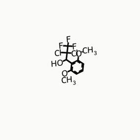 COc1cccc(OC)c1C(O)C(Cl)(Cl)C(F)(F)F